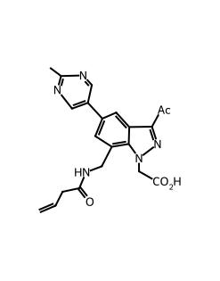 C=CCC(=O)NCc1cc(-c2cnc(C)nc2)cc2c(C(C)=O)nn(CC(=O)O)c12